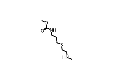 CNCCSSCCNC(=O)OC